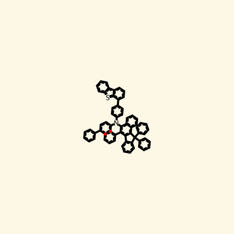 c1ccc(-c2ccc(N(c3ccc(-c4cccc5c4sc4ccccc45)cc3)c3c(-c4ccccc4)c4c(c5ccccc35)C(c3ccccc3)(c3ccccc3)c3ccccc3-4)cc2)cc1